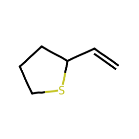 C=CC1CCCS1